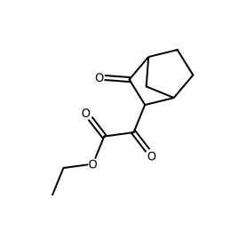 CCOC(=O)C(=O)C1C(=O)C2CCC1C2